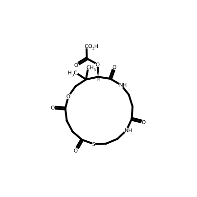 CC1(C)COC(=O)CCC(=O)SCCNC(=O)CCNC(=O)[C@@H]1OC(=O)C(=O)O